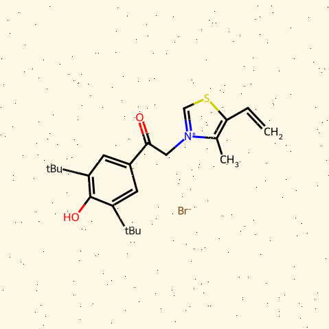 C=Cc1sc[n+](CC(=O)c2cc(C(C)(C)C)c(O)c(C(C)(C)C)c2)c1C.[Br-]